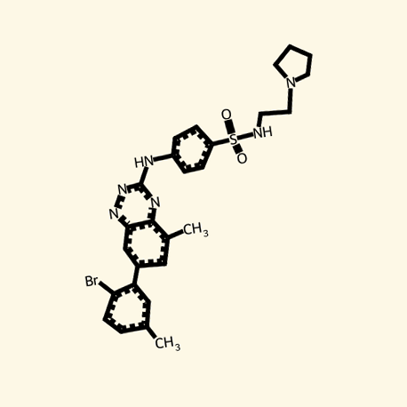 Cc1ccc(Br)c(-c2cc(C)c3nc(Nc4ccc(S(=O)(=O)NCCN5CCCC5)cc4)nnc3c2)c1